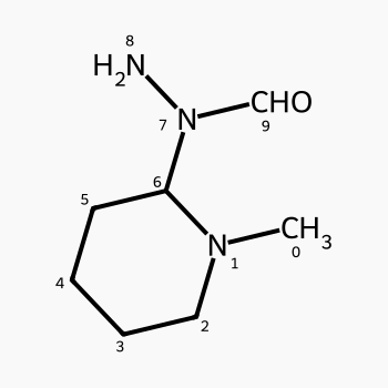 CN1CCCCC1N(N)C=O